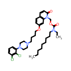 CCCCCCCCCN(CC)C(=O)OCn1c(=O)ccc2ccc(OCCCCN3CCN(c4cccc(Cl)c4Cl)CC3)cc21